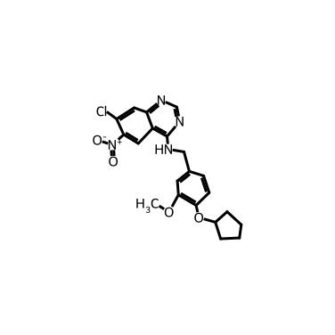 COc1cc(CNc2ncnc3cc(Cl)c([N+](=O)[O-])cc23)ccc1OC1CCCC1